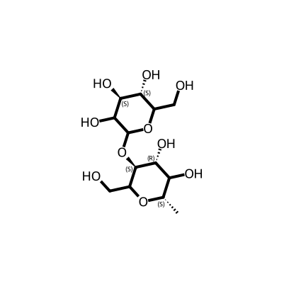 C[C@@H]1OC(CO)[C@@H](OC2OC(CO)[C@@H](O)[C@H](O)C2O)[C@H](O)C1O